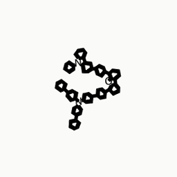 c1ccc(-c2ccc(N(c3ccc(-c4ccccc4)cc3)c3ccc(-c4ccc(-c5cccc6c5oc5c(-c7ccc(-c8ccc9c(c8)c8ccccc8n9-c8ccccc8)cc7)cccc56)cc4)cc3)cc2)cc1